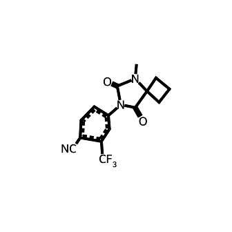 CN1C(=O)N(c2ccc(C#N)c(C(F)(F)F)c2)C(=O)C12CCC2